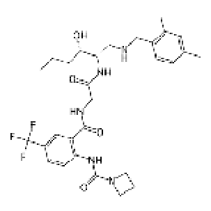 CCC[C@H](O)[C@H](CNCc1ccc(C)cc1C)NC(=O)CNC(=O)c1cc(C(F)(F)F)ccc1NC(=O)N1CCC1